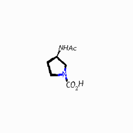 CC(=O)N[C@@H]1CCN(C(=O)O)C1